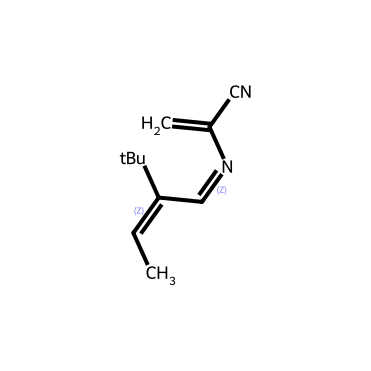 C=C(C#N)/N=C\C(=C/C)C(C)(C)C